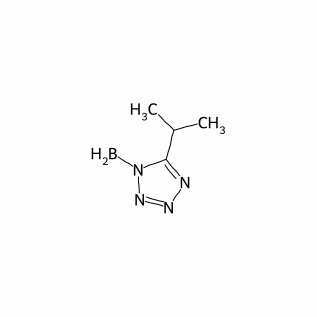 Bn1nnnc1C(C)C